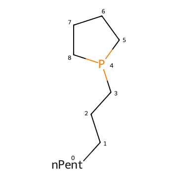 CCCCCCCCP1CCCC1